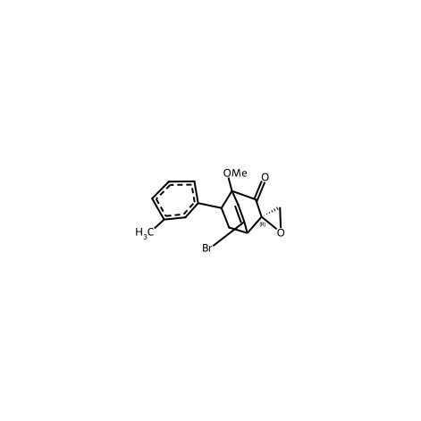 COC12C=C(Br)C(CC1c1cccc(C)c1)[C@@]1(CO1)C2=O